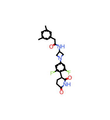 Cc1cc(C)cc(CC(=O)NC2CN(c3cc(F)c(C4CCC(=O)NC4=O)c(F)c3)C2)c1